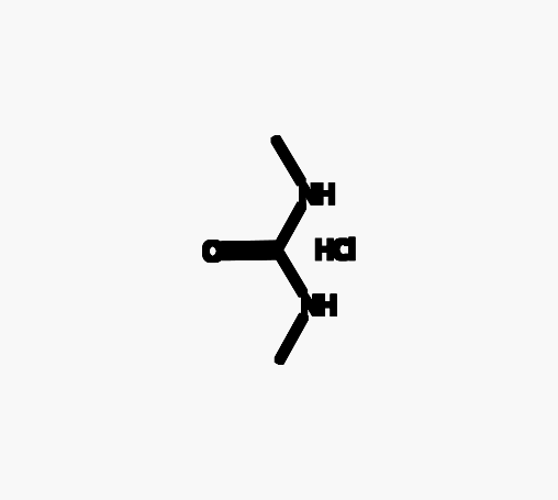 CNC(=O)NC.Cl